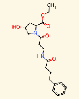 CCOC(=O)[C@@H]1C[C@@H](O)CN1C(=O)CCNC(=O)CCCc1ccccc1